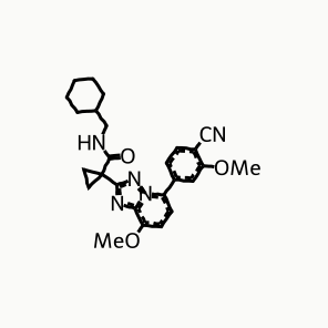 COc1cc(-c2ccc(OC)c3nc(C4(C(=O)NCC5CCCCC5)CC4)nn23)ccc1C#N